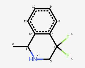 CC1NCC(F)(F)c2ccccc21